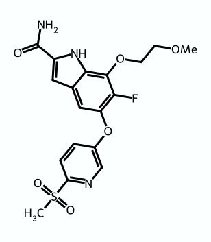 COCCOc1c(F)c(Oc2ccc(S(C)(=O)=O)nc2)cc2cc(C(N)=O)[nH]c12